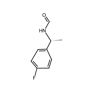 C[C@@H](N[C]=O)c1ccc(F)cc1